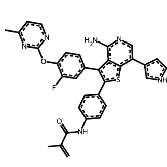 C=C(C)C(=O)Nc1ccc(-c2sc3c(-c4cc[nH]c4)cnc(N)c3c2-c2ccc(Oc3nccc(C)n3)c(F)c2)cc1